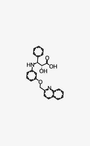 O=C(O)[C@H](O)[C@@H](Nc1cccc(OCc2ccc3ccccc3n2)c1)c1ccccc1